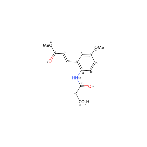 COC(=O)C=Cc1cc(OC)ccc1NC(=O)CC(=O)O